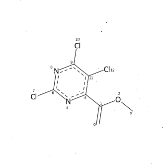 C=C(OC)c1nc(Cl)nc(Cl)c1Cl